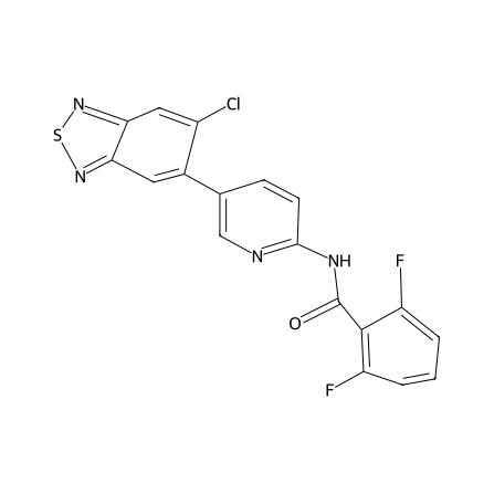 O=C(Nc1ccc(-c2cc3nsnc3cc2Cl)cn1)c1c(F)cccc1F